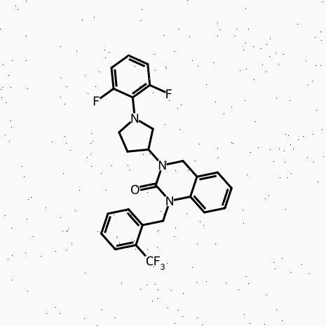 O=C1N(Cc2ccccc2C(F)(F)F)c2ccccc2CN1C1CCN(c2c(F)cccc2F)C1